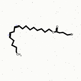 CCCCC/C=C\C/C=C\CCCCCCCCOC(=O)CCCBr